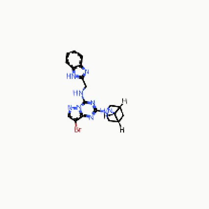 N[C@H]1[C@@H]2C[C@H]1CN(c1nc(NCc3nc4ccccc4[nH]3)n3ncc(Br)c3n1)C2